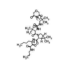 C=CCNC(=O)C(=O)C(CCCC)NC(=O)[C@@H]1[C@@H]2[C@H](CN1C(=O)[C@@H](NC(=O)N[C@H](CN1C(=O)COCC1=O)C(C)(C)C)C(C)(C)C)C2(C)C